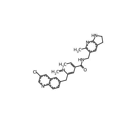 C=N/C(=C\C(=C/C)C(=O)NCc1cc2c(nc1C)NCC2)Cc1ccc2ncc(Cl)cc2c1